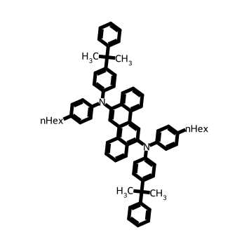 CCCCCCc1ccc(N(c2ccc(C(C)(C)c3ccccc3)cc2)c2cc3c4ccccc4c(N(c4ccc(CCCCCC)cc4)c4ccc(C(C)(C)c5ccccc5)cc4)cc3c3ccccc23)cc1